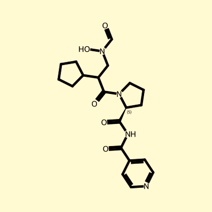 O=CN(O)CC(C(=O)N1CCC[C@H]1C(=O)NC(=O)c1ccncc1)C1CCCC1